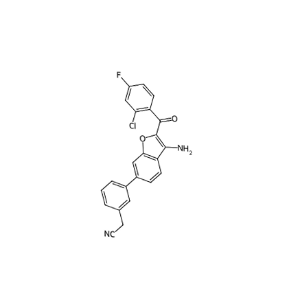 N#CCc1cccc(-c2ccc3c(N)c(C(=O)c4ccc(F)cc4Cl)oc3c2)c1